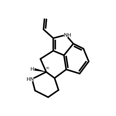 C=Cc1[nH]c2cccc3c2c1C[C@H]1NCCCC31